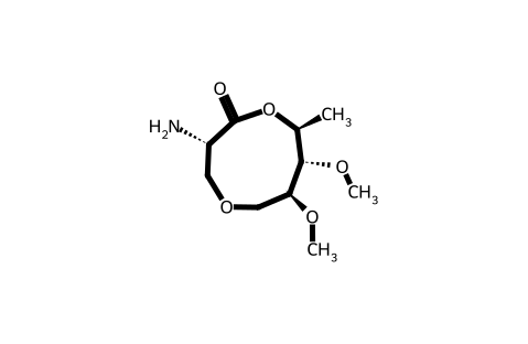 CO[C@H]1[C@H](C)OC(=O)[C@@H](N)COC[C@@H]1OC